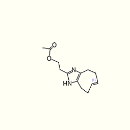 CC(=O)OCCc1nc2c([nH]1)CC/C=C/CC2